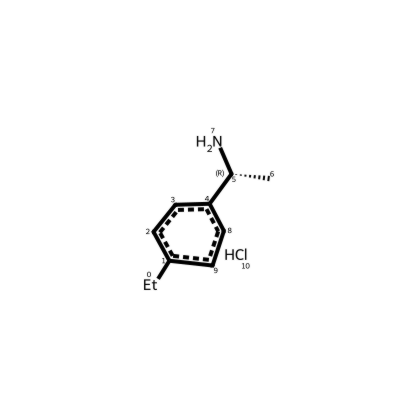 CCc1ccc([C@@H](C)N)cc1.Cl